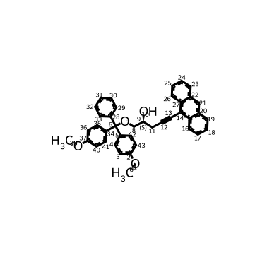 COc1ccc(C(OC[C@@H](O)CC#Cc2c3ccccc3cc3ccccc23)(c2ccccc2)c2ccc(OC)cc2)cc1